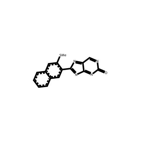 CSc1cc2ccccc2cc1C1=NC2=NC(=O)N=CC2=N1